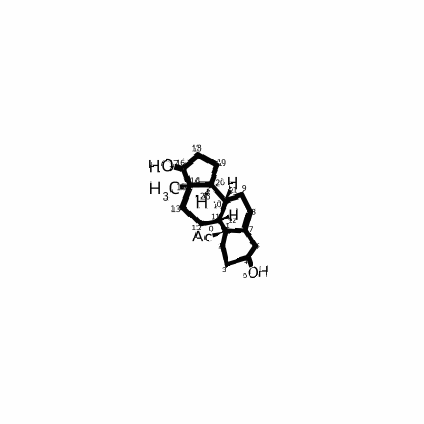 CC(=O)[C@]12CCC(O)CC1=CC[C@@H]1[C@H]2CC[C@]2(C)C(O)CC[C@@H]12